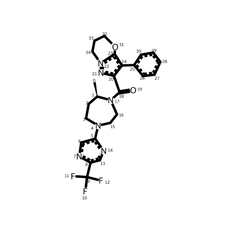 C[C@@H]1CCN(c2cnc(C(F)(F)F)cn2)CCN1C(=O)c1nn2c(c1-c1ccccc1)OCCC2